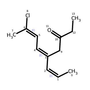 C\C=C/C(=C/C=C(\C)Cl)CC(=O)CC